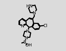 CB(O)N1CCN(C2c3ccc(Cl)cc3C(CN3CCNCC3)=Cc3cccnc32)CC1